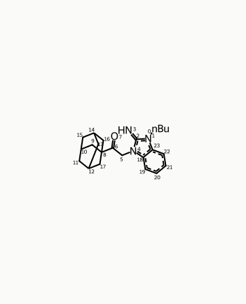 CCCCn1c(=N)n(CC(=O)C23CC4CC(CC(C4)C2)C3)c2ccccc21